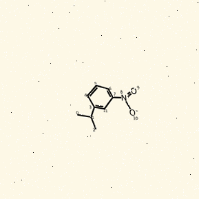 CC(C)c1[c]ccc([N+](=O)[O-])c1